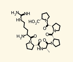 C[C@H](NC(=O)[C@@H]1CCCN1C(=O)[C@@H](N)CCCNC(=N)N)C(=O)N1CCC[C@H]1C(=O)N1CCC[C@H]1C(=O)N1CCC[C@H]1C(=O)O